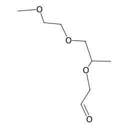 COCCOCC(C)OCC=O